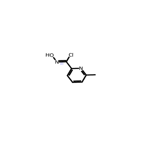 Cc1cccc(/C(Cl)=N/O)n1